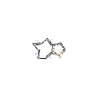 C1=c2/ccs/c2=C/C=C/C=C/1